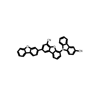 N#Cc1ccc2c(c1)c1ccccc1n2-c1cccc2c1oc1c(C#N)cc(-c3ccc4c(c3)oc3ccccc34)cc12